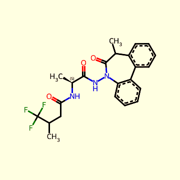 CC1C(=O)N(NC(=O)[C@H](C)NC(=O)CC(C)C(F)(F)F)c2ccccc2-c2ccccc21